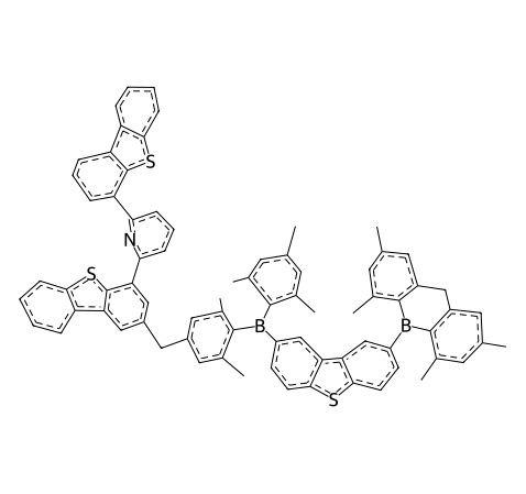 Cc1cc(C)c(B(c2ccc3sc4ccc(B5c6c(C)cc(C)cc6Cc6cc(C)cc(C)c65)cc4c3c2)c2c(C)cc(Cc3cc(-c4cccc(-c5cccc6c5sc5ccccc56)n4)c4sc5ccccc5c4c3)cc2C)c(C)c1